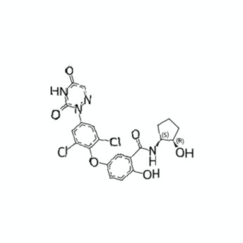 O=C(N[C@H]1CCC[C@H]1O)c1cc(Oc2c(Cl)cc(-n3ncc(=O)[nH]c3=O)cc2Cl)ccc1O